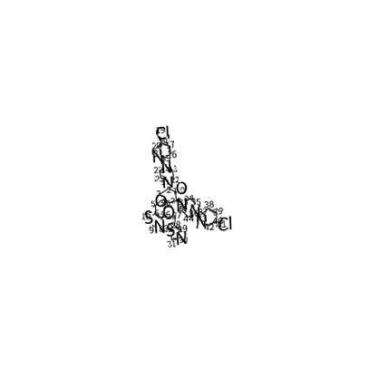 O=C(C(COCc1cncs1)N1CCN(c2ccc(Cl)cn2)CC1)C(COCc1cncs1)N1CCN(c2ccc(Cl)cn2)CC1